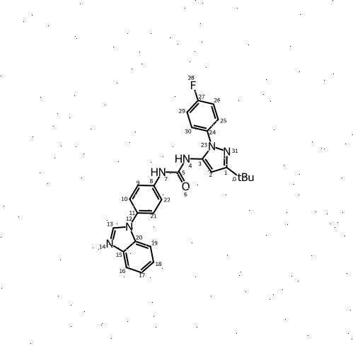 CC(C)(C)c1cc(NC(=O)Nc2ccc(-n3cnc4ccccc43)cc2)n(-c2ccc(F)cc2)n1